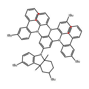 CC(C)(C)c1ccc2c(c1)B1c3ccccc3N(c3ccc(C(C)(C)C)cc3-c3ccccc3)c3cc(N4c5ccc(C(C)(C)C)cc5C5(C)CC(C(C)(C)C)CCC45C)cc(c31)N2c1ccc(C(C)(C)C)cc1-c1ccccc1